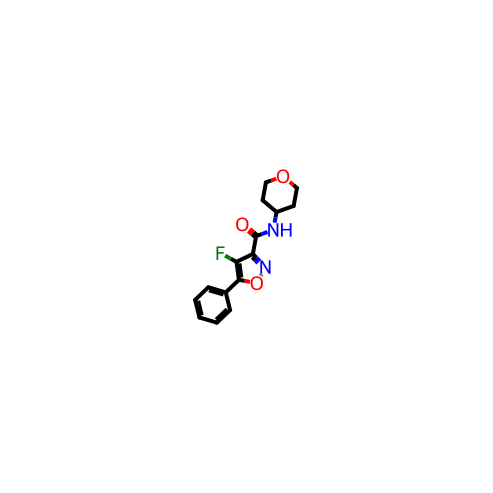 O=C(NC1CCOCC1)c1noc(-c2ccccc2)c1F